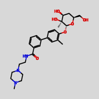 Cc1cc(-c2cccc(C(=O)NCCN3CCN(C)CC3)c2)ccc1O[C@H]1O[C@H](CO)C[C@H](O)[C@]1(C)O